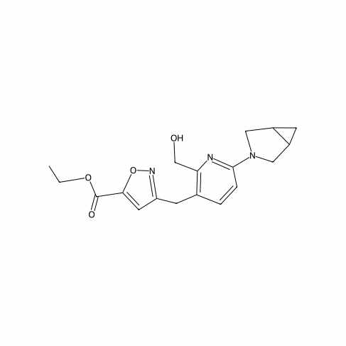 CCOC(=O)c1cc(Cc2ccc(N3CC4CC4C3)nc2CO)no1